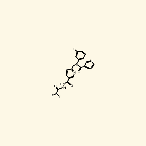 O=C(NNC(=O)C(F)F)c1ccc(CN(C(=O)c2cccnc2)c2cccc(F)c2)nc1